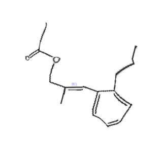 CCCc1ccccc1/C=C(\C)COC(C)=O